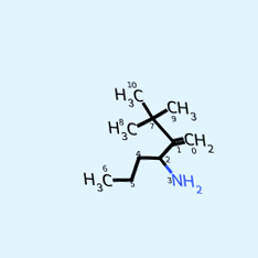 C=C(C(N)CCC)C(C)(C)C